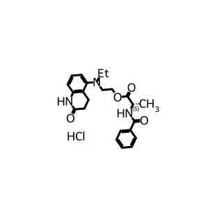 CCN(CCOC(=O)[C@H](C)NC(=O)c1ccccc1)c1cccc2c1CCC(=O)N2.Cl